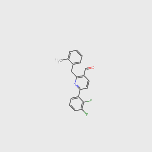 Cc1ccccc1Cc1nc(-c2cccc(F)c2F)ccc1C=O